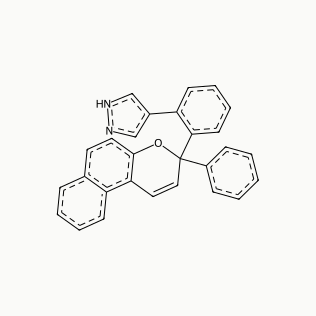 C1=CC(c2ccccc2)(c2ccccc2-c2cn[nH]c2)Oc2ccc3ccccc3c21